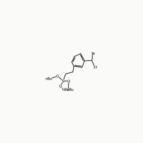 CCCCO[Si](CCc1cccc(C(Br)CC)c1)(OCCCC)OCCCC